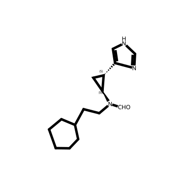 O=CN(CCC1CCCCC1)[C@H]1C[C@@H]1c1c[nH]cn1